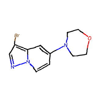 Brc1cnn2ccc(N3CCOCC3)cc12